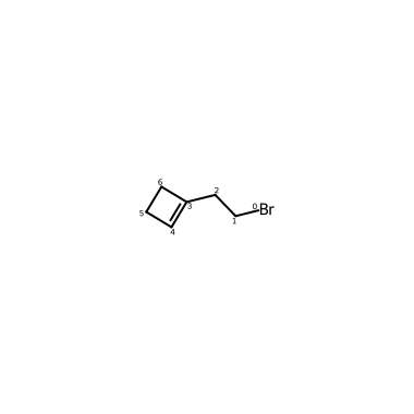 BrCCC1=CCC1